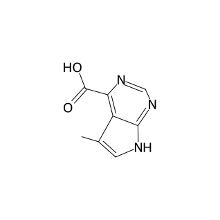 Cc1c[nH]c2ncnc(C(=O)O)c12